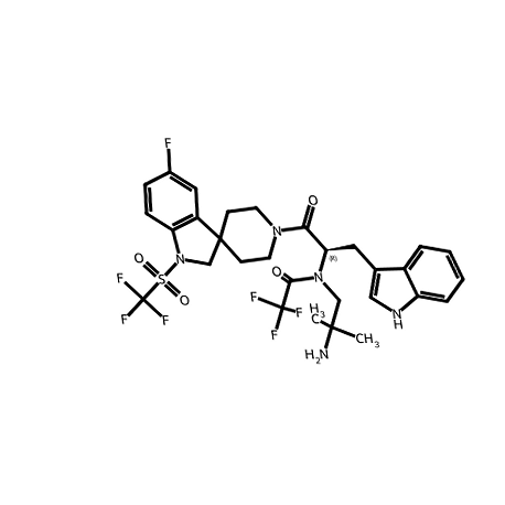 CC(C)(N)CN(C(=O)C(F)(F)F)[C@H](Cc1c[nH]c2ccccc12)C(=O)N1CCC2(CC1)CN(S(=O)(=O)C(F)(F)F)c1ccc(F)cc12